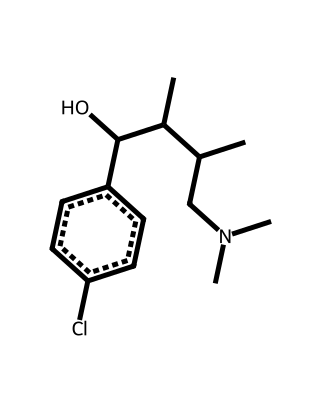 CC(CN(C)C)C(C)C(O)c1ccc(Cl)cc1